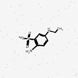 CCNc1ccc(N)c(S(=O)(=O)O)c1